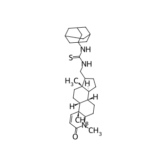 CN1C(=O)C=C[C@@]2(C)C1CC[C@@H]1[C@H]2CC[C@]2(C)C(CNC(=S)NC34CC5CC(CC(C5)C3)C4)CC[C@@H]12